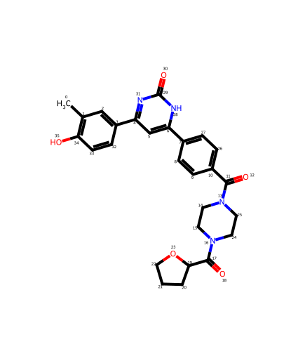 Cc1cc(-c2cc(-c3ccc(C(=O)N4CCN(C(=O)C5CCCO5)CC4)cc3)[nH]c(=O)n2)ccc1O